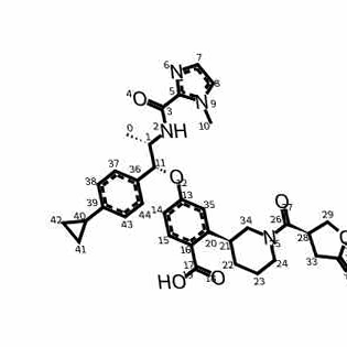 C[C@H](NC(=O)c1nccn1C)[C@H](Oc1ccc(C(=O)O)c([C@@H]2CCCN(C(=O)[C@H]3COC(=O)C3)C2)c1)c1ccc(C2CC2)cc1